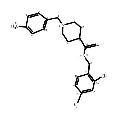 Cc1ccc(CN2CCC(C(=O)NCc3ccc(Cl)cc3Cl)CC2)cc1